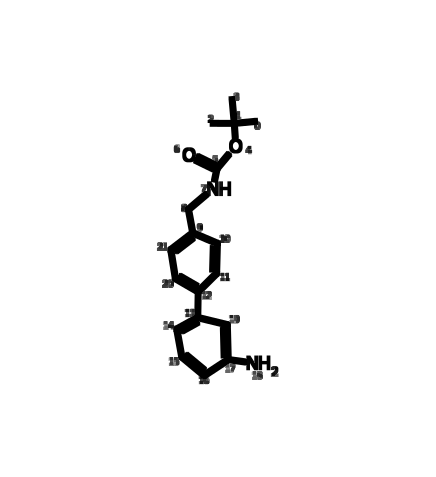 CC(C)(C)OC(=O)NCc1ccc(-c2cccc(N)c2)cc1